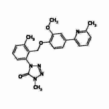 COc1cc(-c2cccc(C)n2)ccc1OCc1c(C)cccc1-n1nnn(C)c1=O